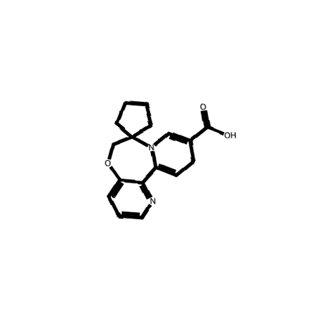 O=C(O)C1=CN2C(=CC1)c1ncccc1OCC21CCCC1